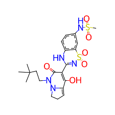 CC(C)(C)CCN1C(=O)C(C2=NS(=O)(=O)c3cc(NS(C)(=O)=O)ccc3N2)=C(O)C2=CCCN21